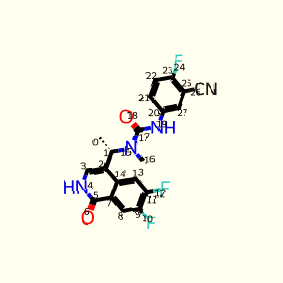 C[C@@H](c1c[nH]c(=O)c2cc(F)c(F)cc12)N(C)C(=O)Nc1ccc(F)c(C#N)c1